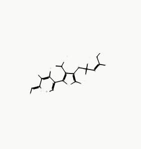 C/C=C(C)/C(C)=C(C)\C(=C/C)c1[nH]c(C)c(CC(C)(C)/C=C(/C)CC)c1C(C)C